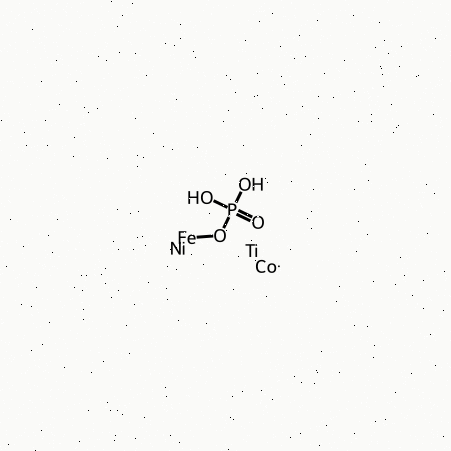 O=P(O)(O)[O][Fe].[Co].[Ni].[Ti]